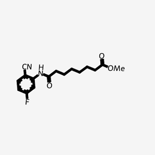 COC(=O)CCCCCCC(=O)Nc1cc(F)ccc1C#N